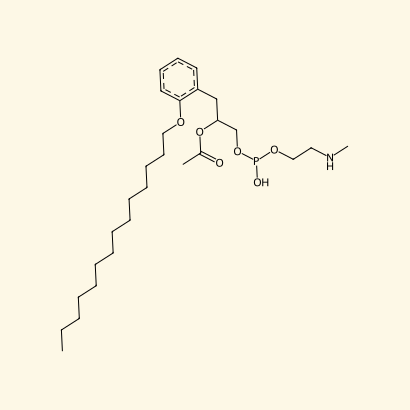 CCCCCCCCCCCCCCOc1ccccc1CC(COP(O)OCCNC)OC(C)=O